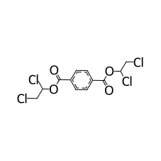 O=C(OC(Cl)CCl)c1ccc(C(=O)OC(Cl)CCl)cc1